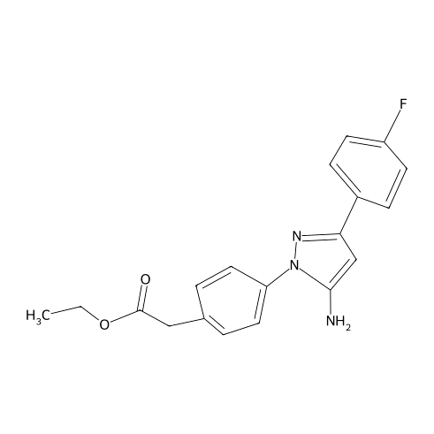 CCOC(=O)Cc1ccc(-n2nc(-c3ccc(F)cc3)cc2N)cc1